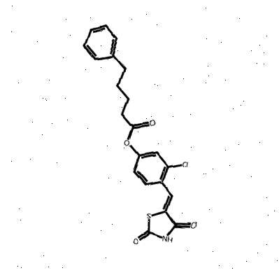 O=C(CCCCc1ccccc1)Oc1ccc(/C=C2\SC(=O)NC2=O)c(Cl)c1